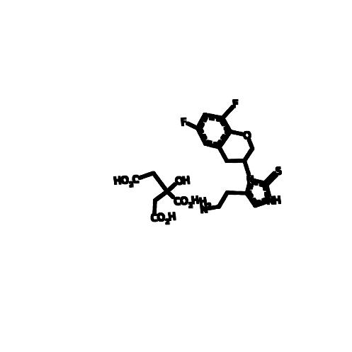 NCCc1c[nH]c(=S)n1C1COc2c(F)cc(F)cc2C1.O=C(O)CC(O)(CC(=O)O)C(=O)O